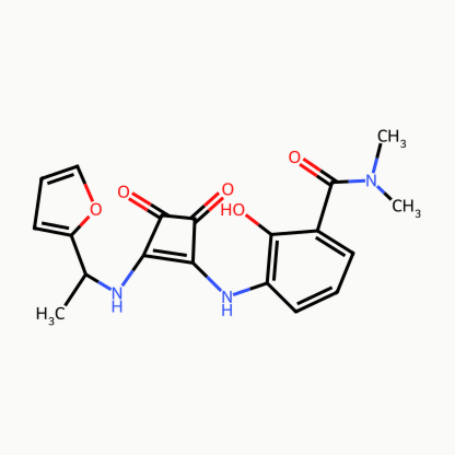 CC(Nc1c(Nc2cccc(C(=O)N(C)C)c2O)c(=O)c1=O)c1ccco1